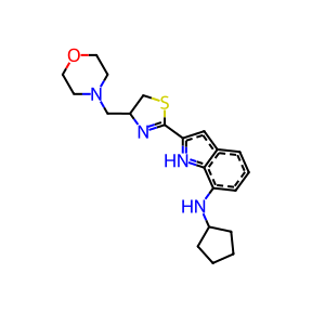 c1cc(NC2CCCC2)c2[nH]c(C3=NC(CN4CCOCC4)CS3)cc2c1